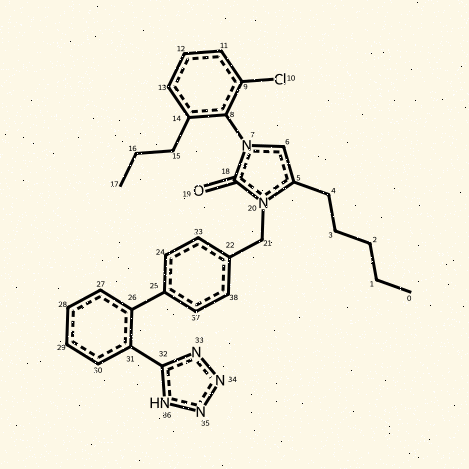 CCCCCc1cn(-c2c(Cl)cccc2CCC)c(=O)n1Cc1ccc(-c2ccccc2-c2nnn[nH]2)cc1